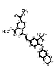 COC(=O)C1CN(C(=O)OC)CCN1C(=O)C=Cc1ccc(Sc2ccc3c(c2)OCCO3)c(C(F)(F)F)c1